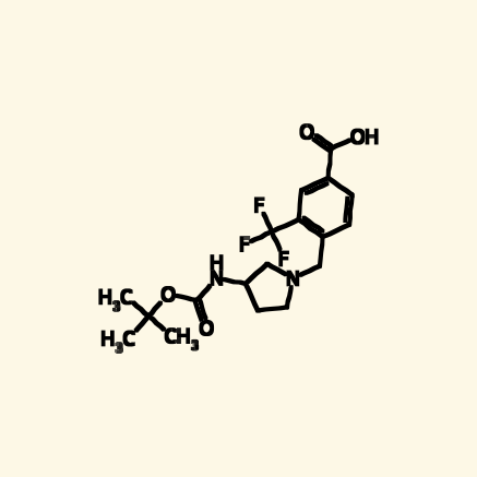 CC(C)(C)OC(=O)NC1CCN(Cc2ccc(C(=O)O)cc2C(F)(F)F)C1